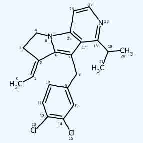 C/C=C1\CCn2c1c(Cc1ccc(Cl)c(Cl)c1)c1c(C(C)C)nccc12